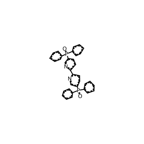 O=P(c1ccccc1)(c1ccccc1)c1ccc(-c2ccc(P(=O)(c3ccccc3)c3ccccc3)cn2)nc1